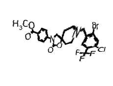 COC(=O)c1ccc(N2CC3(CCN(Cc4cc(C(F)(F)F)c(Cl)cc4Br)CC3)OC2=O)cc1